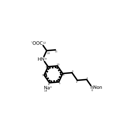 CCCCCCCCCCCCc1cccc(NC(C)C(=O)[O-])c1.[Na+]